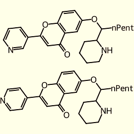 CCCCCC(Oc1ccc2oc(-c3cccnc3)cc(=O)c2c1)C1CCCCN1.CCCCCC(Oc1ccc2oc(-c3ccncc3)cc(=O)c2c1)C1CCCCN1